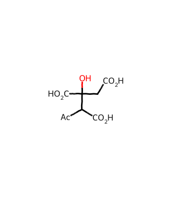 CC(=O)C(C(=O)O)C(O)(CC(=O)O)C(=O)O